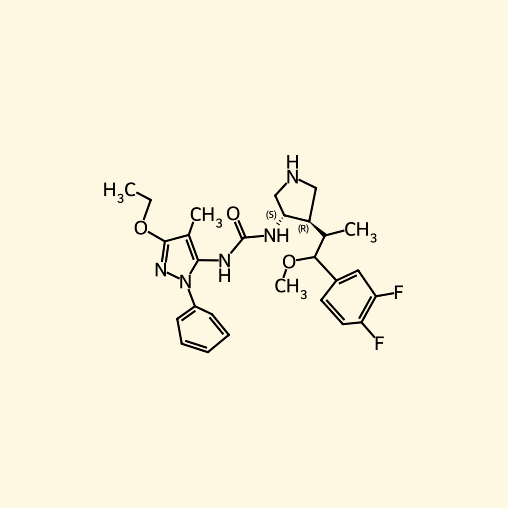 CCOc1nn(-c2ccccc2)c(NC(=O)N[C@@H]2CNC[C@H]2C(C)C(OC)c2ccc(F)c(F)c2)c1C